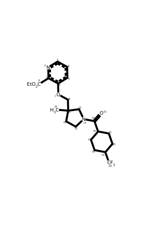 CCOC(=O)c1ncccc1OCC1(C)CCN(C(=O)C2CCC(C(F)(F)F)CC2)C1